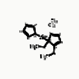 CCC1=CC=C[C]1(CC)[Zr+2][CH]1C=CC=C1.[Cl-].[Cl-]